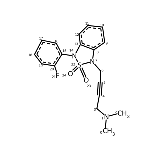 CN(C)CC#CCN1c2ccccc2N(c2ccccc2F)S1(=O)=O